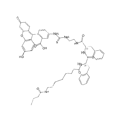 CCCC(=O)NCCCCCCCC(=O)N[C@@H](Cc1ccccc1)C(=O)N[C@@H](Cc1ccccc1)C(=O)NCCNC(=S)Nc1ccc(-c2c3ccc(=O)cc-3oc3cc(O)ccc23)c(C(=O)O)c1